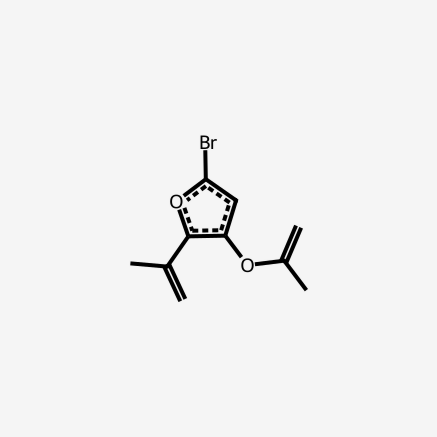 C=C(C)Oc1cc(Br)oc1C(=C)C